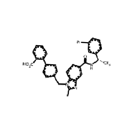 Cc1nc2cc(C(=O)N[C@H](c3cccc(C(C)C)c3)C(F)(F)F)ccc2n1Cc1ccc(-c2ccccc2C(=O)O)cc1